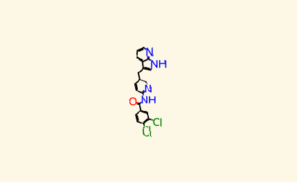 O=C(NC1=NCC(Cc2c[nH]c3ncccc23)C=C1)c1ccc(Cl)c(Cl)c1